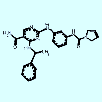 CC(Nc1nc(Nc2cccc(NC(=O)N3CC=CC3)c2)ncc1C(N)=O)c1ccccc1